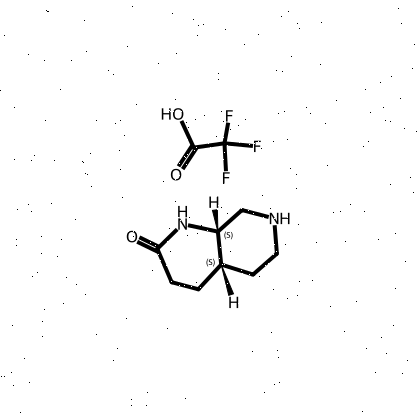 O=C(O)C(F)(F)F.O=C1CC[C@H]2CCNC[C@H]2N1